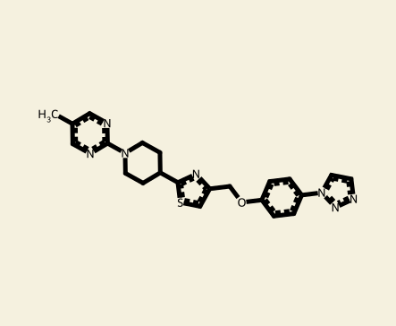 Cc1cnc(N2CCC(c3nc(COc4ccc(-n5ccnn5)cc4)cs3)CC2)nc1